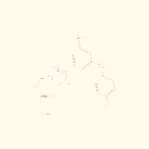 CC(C)OC(=O)/C=C\n1cnc(-c2cc(Nc3ccc(Cl)cc3)cc(C(F)(F)F)c2)n1